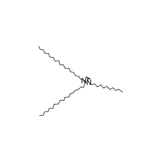 CCCCCCCCCCCCCCCCCCc1n(CCCCCCCCCCC)cc[n+]1CCCCCCCCCCCCCCCCCC